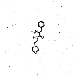 NC(Cc1ccccc1)C(=O)NCCN1CCOCC1